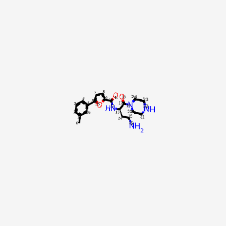 Cc1cccc(-c2ccc(C(=O)N[C@H](CCN)C(=O)N3CCNCC3)o2)c1